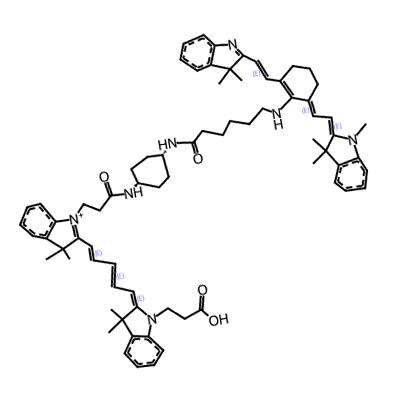 CN1/C(=C/C=C2\CCCC(/C=C/C3=Nc4ccccc4C3(C)C)=C2NCCCCCC(=O)N[C@H]2CC[C@H](NC(=O)CC[N+]3=C(/C=C/C=C/C=C4/N(CCC(=O)O)c5ccccc5C4(C)C)C(C)(C)c4ccccc43)CC2)C(C)(C)c2ccccc21